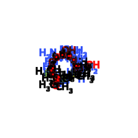 CCC[C@H](NC(C)=O)C(=O)N[C@H]1CSCc2cccc(c2)CSC[C@@H](C(=O)N[C@H](C(=O)N[C@@H](Cc2ccc(O)cc2)C(N)=O)C(C)(C)C)NC(=O)[C@H]([C@@H](C)CC)NC(=O)[C@H](Cc2c[nH]cn2)NC(=O)[C@H](CCCNC(=N)N)NC(=O)[C@H](Cc2ccc(O)cc2)NC(=O)[C@H](CCCCN)NC(=O)CNC(=O)[C@H](C(C)(C)C)NC(=O)[C@H](Cc2ccc(F)cc2)N(C)C1=O